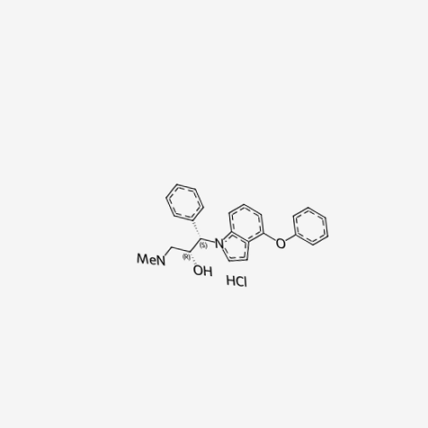 CNC[C@@H](O)[C@H](c1ccccc1)n1ccc2c(Oc3ccccc3)cccc21.Cl